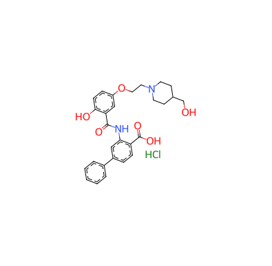 Cl.O=C(Nc1cc(-c2ccccc2)ccc1C(=O)O)c1cc(OCCN2CCC(CO)CC2)ccc1O